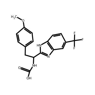 COc1ccc(CC(NC(=O)O)c2nc3cc(C(F)(F)F)ccc3[nH]2)cc1